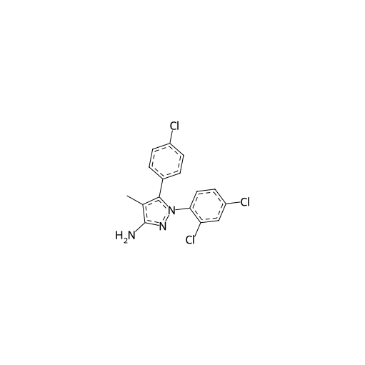 Cc1c(N)nn(-c2ccc(Cl)cc2Cl)c1-c1ccc(Cl)cc1